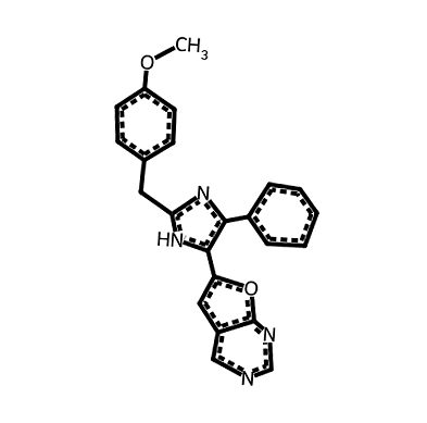 COc1ccc(Cc2nc(-c3ccccc3)c(-c3cc4cncnc4o3)[nH]2)cc1